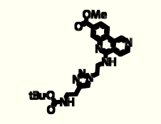 COC(=O)c1ccc2c(c1)nc(NCCn1cc(CCNC(=O)OC(C)(C)C)nn1)c1ccncc12